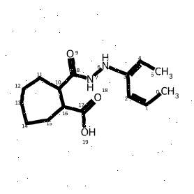 C/C=C\C(=C/C)NNC(=O)C1CCCCCC1C(=O)O